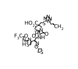 C=CCn1nnnc1SCC1(C(=O)O)CS[C@@H]2C(NC(=O)C(=NOC3CSC3)c3csc(NC(=O)C(F)(F)F)n3)C(=O)N2C1